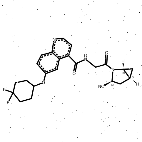 N#C[C@@H]1C[C@@H]2C[C@@H]2N1C(=O)CNC(=O)c1ccnc2ccc(OC3CCC(F)(F)CC3)cc12